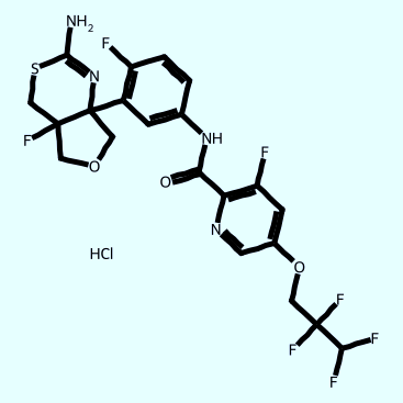 Cl.NC1=NC2(c3cc(NC(=O)c4ncc(OCC(F)(F)C(F)F)cc4F)ccc3F)COCC2(F)CS1